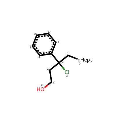 CCCCCCCCC(Cl)(CCO)c1ccccc1